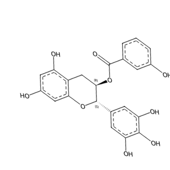 O=C(O[C@@H]1Cc2c(O)cc(O)cc2O[C@H]1c1cc(O)c(O)c(O)c1)c1cccc(O)c1